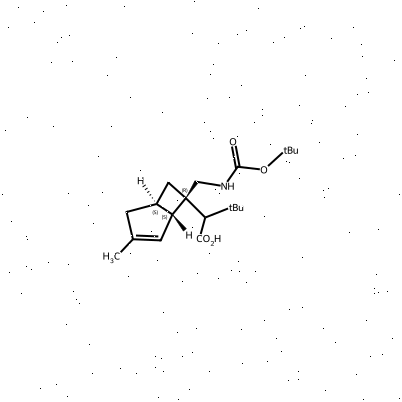 CC1=C[C@@H]2[C@@H](C1)C[C@]2(CNC(=O)OC(C)(C)C)C(C(=O)O)C(C)(C)C